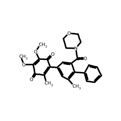 COC1=C(OC)C(=O)C(c2cc(C)c(-c3ccccc3)c(C(=O)N3CCOCC3)c2)=C(C)C1=O